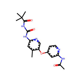 CC(=O)Nc1cc(Oc2cnc(NC(=O)NC(=O)C(C)(C)C)cc2C)ccn1